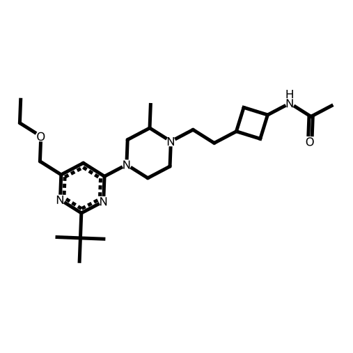 CCOCc1cc(N2CCN(CCC3CC(NC(C)=O)C3)C(C)C2)nc(C(C)(C)C)n1